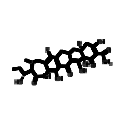 CC[C@@H](O)C1C(=O)Nc2c(O)c3c(c(F)c2CN1C)CC1C[C@H]2CC(O)=C(C(N)=O)C(=O)[C@@]2(O)C(O)=C1C3=O